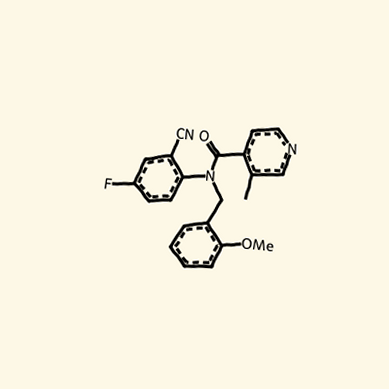 COc1ccccc1CN(C(=O)c1ccncc1C)c1ccc(F)cc1C#N